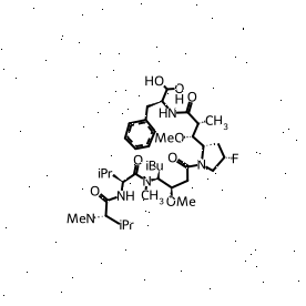 CC[C@H](C)[C@@H]([C@@H](CC(=O)N1C[C@@H](F)C[C@H]1[C@H](OC)[C@@H](C)C(=O)N[C@@H](Cc1ccccc1)C(O)O)OC)N(C)C(=O)[C@@H](NC(=O)[C@@H](NC)C(C)C)C(C)C